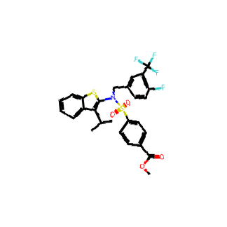 COC(=O)c1ccc(S(=O)(=O)N(Cc2ccc(F)c(C(F)(F)F)c2)c2sc3ccccc3c2C(C)C)cc1